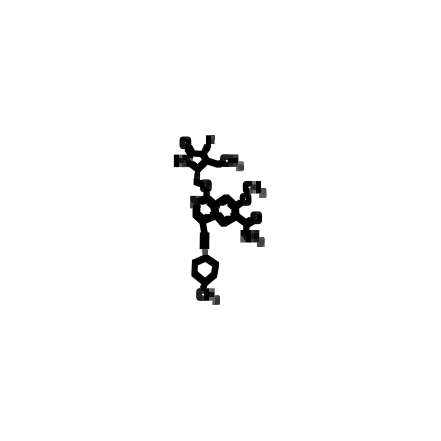 CCC1[C@H](F)C(=O)N[C@@H]1COc1ncc(C#C[C@H]2CC[C@H](C)CC2)c2cc(C(N)=O)c(OC)cc12